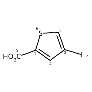 O=C(O)c1cc(I)cs1